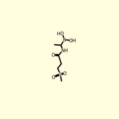 CC(NC(=O)CCS(C)(=O)=O)B(O)O